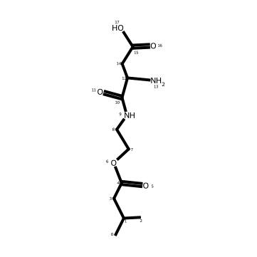 CC(C)CC(=O)OCCNC(=O)C(N)CC(=O)O